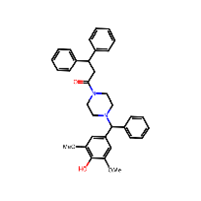 COc1cc(C(c2ccccc2)N2CCN(C(=O)CC(c3ccccc3)c3ccccc3)CC2)cc(OC)c1O